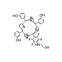 Oc1cccc(-c2c3nc(c(-c4cccc(O)c4)c4ccc([nH]4)c(-c4c(F)c(F)c(NCCS)c(F)c4F)c4nc(c(-c5cccc(O)c5)c5ccc2[nH]5)C=C4)C=C3)c1